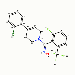 O/N=C(\c1c(F)cccc1C(F)(F)F)N1CC=C(c2ccccc2Cl)CC1